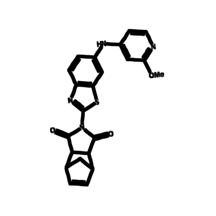 COc1cc(Nc2ccc3nc(N4C(=O)C5C6C=CC(C6)C5C4=O)sc3c2)ccn1